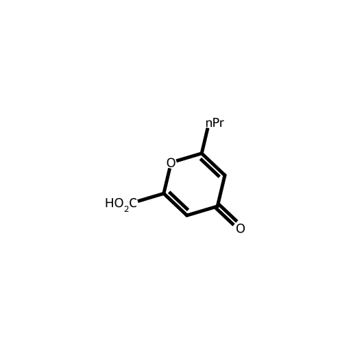 CCCc1cc(=O)cc(C(=O)O)o1